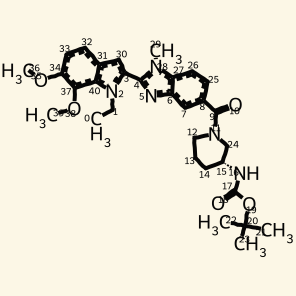 CCn1c(-c2nc3cc(C(=O)N4CCC[C@@H](NC(=O)OC(C)(C)C)C4)ccc3n2C)cc2ccc(OC)c(OC)c21